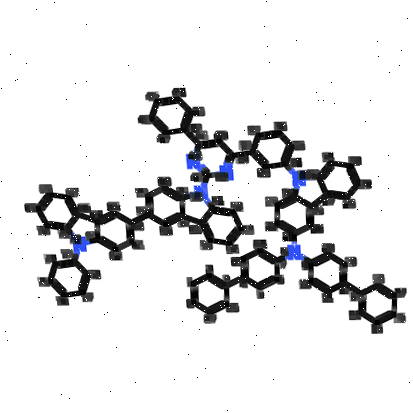 c1ccc(-c2ccc(N(c3ccc(-c4ccccc4)cc3)c3ccc4c(c3)c3ccccc3n4-c3cccc(-c4cc(-c5ccccc5)nc(-n5c6ccccc6c6cc(-c7ccc8c(c7)c7ccccc7n8-c7ccccc7)ccc65)n4)c3)cc2)cc1